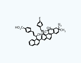 CC1(C)C=CC2=C(C1)CC(C)(C)c1c2ccc2cc(-c3ccc4ccccc4c3C(O)C=Cc3ccc(C(=O)O)cc3)cc(SCc3ccc(F)cc3)c12